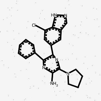 Nc1nc(-c2ccccc2)c(-c2cc(Cl)c3[nH]ncc3c2)nc1N1CCCC1